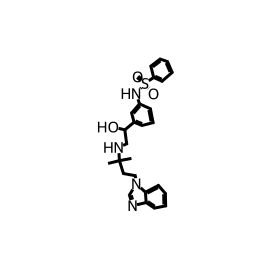 CC(C)(CCn1cnc2ccccc21)NCC(O)c1cccc(NS(=O)(=O)c2ccccc2)c1